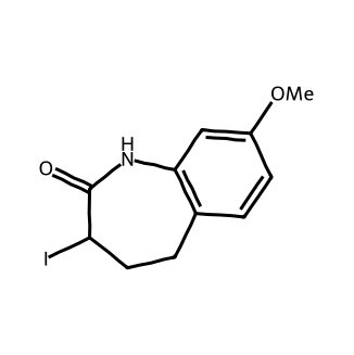 COc1ccc2c(c1)NC(=O)C(I)CC2